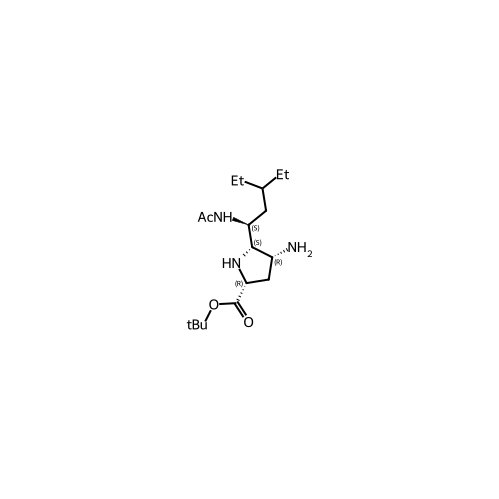 CCC(CC)C[C@H](NC(C)=O)[C@H]1N[C@@H](C(=O)OC(C)(C)C)C[C@H]1N